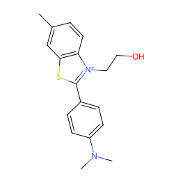 Cc1ccc2c(c1)sc(-c1ccc(N(C)C)cc1)[n+]2CCO